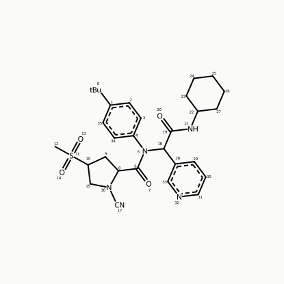 CC(C)(C)c1ccc(N(C(=O)C2CC(S(C)(=O)=O)CN2C#N)C(C(=O)NC2CCCCC2)c2cccnc2)cc1